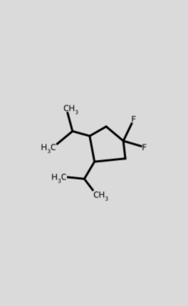 CC(C)C1CC(F)(F)CC1C(C)C